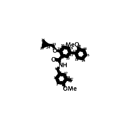 COc1ccc(CNC(=O)c2cc(-c3ccccc3OC)ccc2OCC2CC2)cc1F